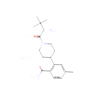 Cc1ccc(C(N)=O)c(C2CCN(C(=O)[C@@H](N)C(C)(C)C)CC2)c1.Cl